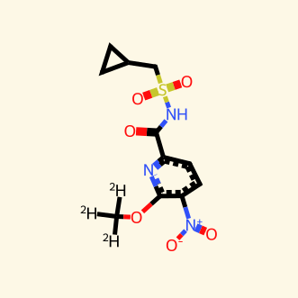 [2H]C([2H])([2H])Oc1nc(C(=O)NS(=O)(=O)CC2CC2)ccc1[N+](=O)[O-]